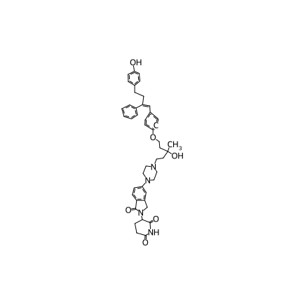 CC(O)(CCOc1ccc(/C=C(/CCc2ccc(O)cc2)c2ccccc2)cc1)CCN1CCN(c2ccc3c(c2)CN(C2CCC(=O)NC2=O)C3=O)CC1